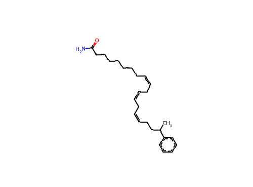 CC(CC/C=C\C/C=C\C/C=C\CCCCCCCC(N)=O)c1ccccc1